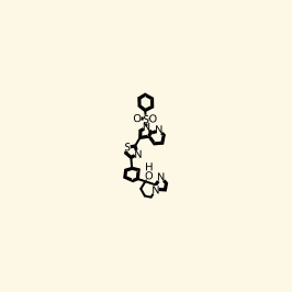 O=S(=O)(c1ccccc1)n1cc(-c2nc(-c3cccc([C@]4(O)CCCn5ccnc54)c3)cs2)c2cccnc21